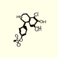 CS(=O)(=O)Oc1ccc(C2CNCCc3c2cc(O)c(O)c3Cl)cc1